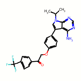 CC(C)n1cc(-c2ccc(OCC(=O)c3ccc(C(F)(F)F)cc3)cc2)c2c(N)ncnc21